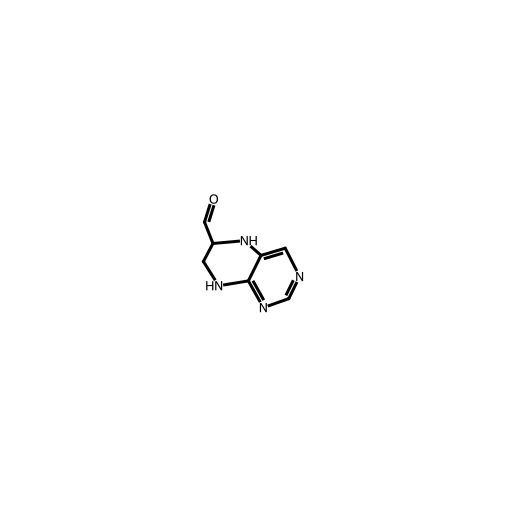 O=CC1CNc2ncncc2N1